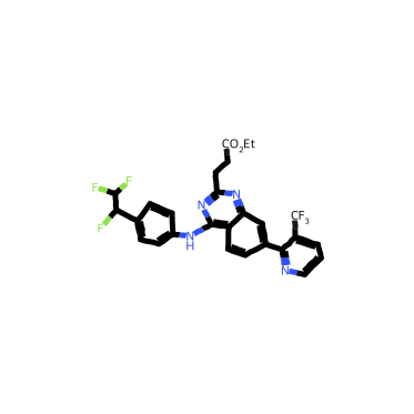 CCOC(=O)CCc1nc(Nc2ccc(C(F)C(F)F)cc2)c2ccc(-c3ncccc3C(F)(F)F)cc2n1